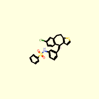 O=S(=O)(Nc1cccc(/C=C2\c3ccc(Cl)cc3CCc3sccc32)c1)c1ccccc1